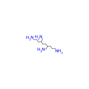 NCCCC(CN)CCC(CN)CCCN